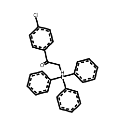 O=C(C[PH](c1ccccc1)(c1ccccc1)c1ccccc1)c1ccc(Cl)cc1